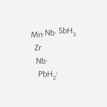 [Mn].[Nb].[Nb].[PbH2].[SbH3].[Zr]